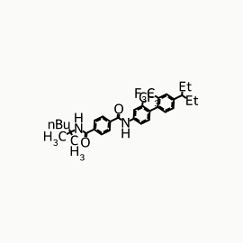 CCCCC(C)(C)NC(=O)c1ccc(C(=O)Nc2ccc(-c3ccc(C(CC)CC)cc3C(F)(F)F)c(C(F)(F)F)c2)cc1